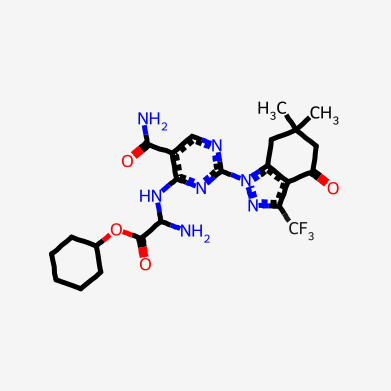 CC1(C)CC(=O)c2c(C(F)(F)F)nn(-c3ncc(C(N)=O)c(NC(N)C(=O)OC4CCCCC4)n3)c2C1